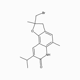 Cc1cc2c(c3cc(C(C)C)c(=O)[nH]c13)OC(C)(CBr)C2